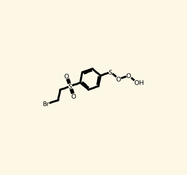 O=S(=O)(CCBr)c1ccc(SOOO)cc1